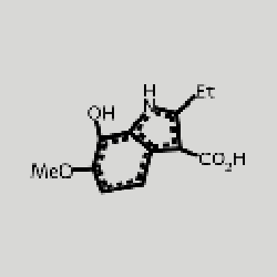 CCc1[nH]c2c(O)c(OC)ccc2c1C(=O)O